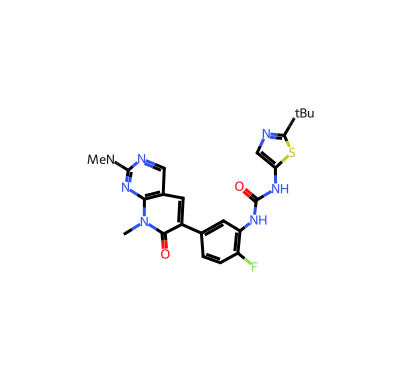 CNc1ncc2cc(-c3ccc(F)c(NC(=O)Nc4cnc(C(C)(C)C)s4)c3)c(=O)n(C)c2n1